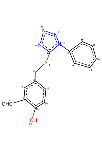 O=Cc1cc(CSc2nnnn2-c2ccccc2)ccc1O